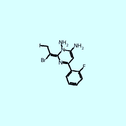 NC1=CC(c2ccccc2F)=N/C(=C(\Br)CI)N1N